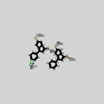 CC(C)(C)SC1=CC2=C(c3ccccc3)C=C(SC(C)(C)C)C2=C1.CC(C)(C)SC1=CC2=C(c3ccccc3)C=C(SC(C)(C)C)C2=C1.[Cl-].[Cl-].[Zr+2]